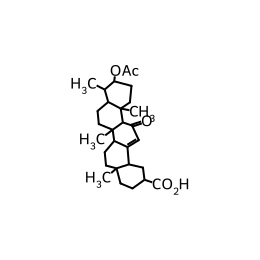 CC(=O)OC1CCC2(C)C(CCC3(C)C4CCC5(C)CCC(C(=O)O)CC5C4=CC(=O)C32)C1C